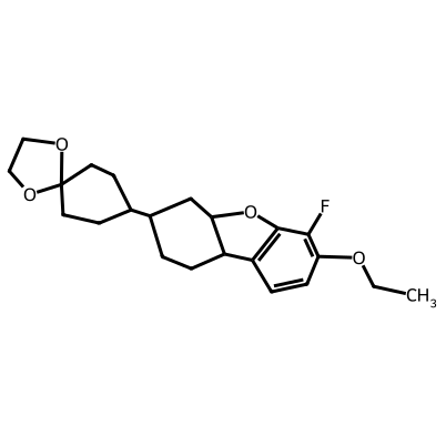 CCOc1ccc2c(c1F)OC1CC(C3CCC4(CC3)OCCO4)CCC21